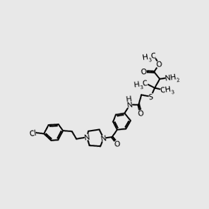 COC(=O)C(N)C(C)(C)SCC(=O)Nc1ccc(C(=O)N2CCN(CCc3ccc(Cl)cc3)CC2)cc1